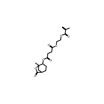 C=C(C)C(=O)OCCOC(=O)CCC(=O)OC1CCC2CC1(C)OC2=O